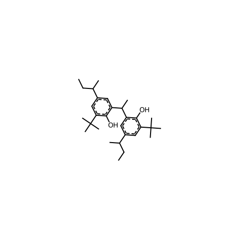 CCC(C)c1cc(C(C)c2cc(C(C)CC)cc(C(C)(C)C)c2O)c(O)c(C(C)(C)C)c1